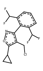 FC(F)c1cccc(C(F)F)c1-c1noc(C2CC2)c1CCl